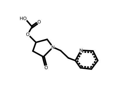 O=C(O)OC1CC(=O)N(CCc2ccccn2)C1